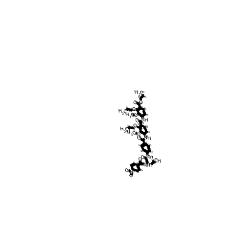 C#CC[C@H](NC(=O)c1ccc([N+](=O)[O-])cc1)C(=O)Nc1ccc(C(=O)Nc2ccc(C(=O)Nc3ccc(C(=O)OCC=C)c(OCC=C)c3OC)c(OCC=C)c2OC)cc1